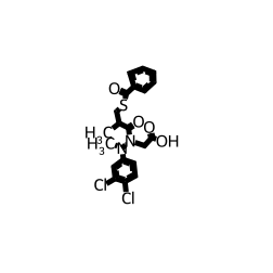 CC(CSC(=O)c1ccccc1)C(=O)N(CC(=O)O)N(C)c1ccc(Cl)c(Cl)c1